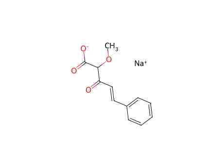 COC(C(=O)[O-])C(=O)C=Cc1ccccc1.[Na+]